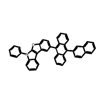 c1ccc(-n2c3ccccc3c3c4cc(-c5c6ccccc6c(-c6ccc7ccccc7c6)c6ccccc56)ccc4oc32)cc1